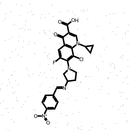 O=C(O)c1cn(C2CC2)c2c(Cl)c(N3CCC(N=Cc4ccc([N+](=O)[O-])cc4)C3)c(F)cc2c1=O